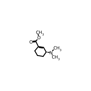 COC(=O)C1=C[C@@H](N(C)C)CCC1